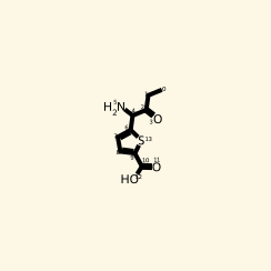 CCC(=O)C(N)c1ccc(C(=O)O)s1